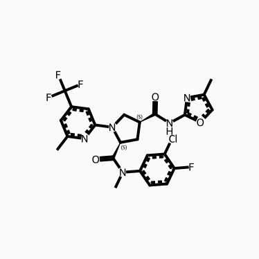 Cc1cc(C(F)(F)F)cc(N2C[C@@H](C(=O)Nc3nc(C)co3)C[C@H]2C(=O)N(C)c2ccc(F)c(Cl)c2)n1